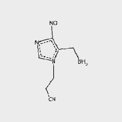 BCc1c(N=O)ncn1CCC#N